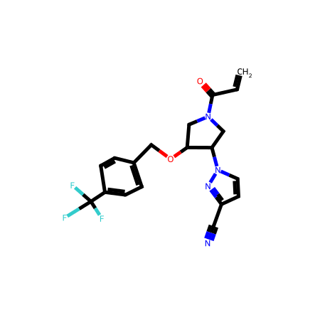 C=CC(=O)N1CC(OCc2ccc(C(F)(F)F)cc2)C(n2ccc(C#N)n2)C1